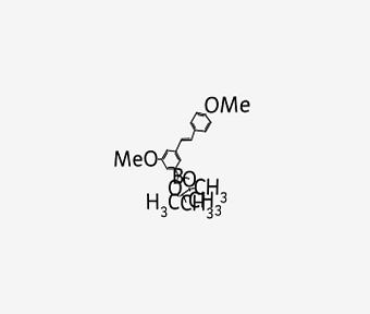 COc1ccc(/C=C/c2cc(OC)cc(B3OC(C)(C)C(C)(C)O3)c2)cc1